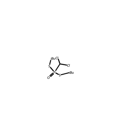 CCC(C)SP(=O)(SC(C)CC)C(Cl)Cl